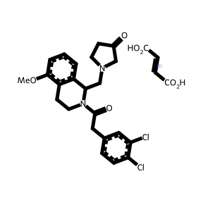 COc1cccc2c1CCN(C(=O)Cc1ccc(Cl)c(Cl)c1)C2CN1CCC(=O)C1.O=C(O)/C=C/C(=O)O